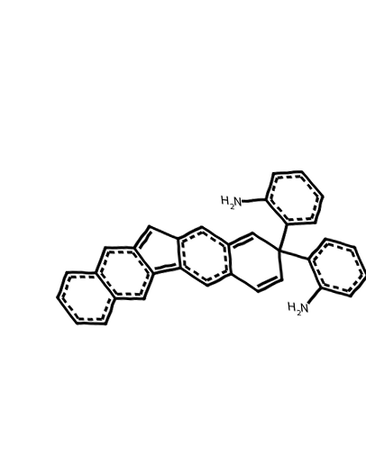 Nc1ccccc1C1(c2ccccc2N)C=Cc2cc3c(cc2=C1)C=c1cc2ccccc2cc1=3